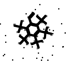 C=Cc1c(C(C)(C)C)c(C(C)(C)C)c(C(C)(C)C)c(C(C)(C)C)c1C(C)(C)C